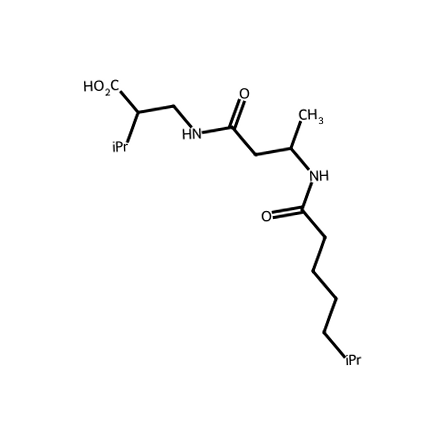 CC(C)CCCCC(=O)NC(C)CC(=O)NCC(C(=O)O)C(C)C